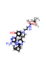 CC(C)(C)OC(=O)NCCCN1CCC(c2cnc(C3C4CCN(c5cc(-c6ccccc6O)nnc5N)CC5C(C4)C53)nc2)CC1